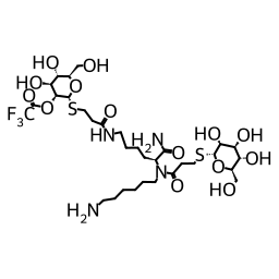 NCCCCCCN(C(=O)CCS[C@H]1O[C@H](CO)[C@@H](O)[C@H](O)[C@@H]1O)[C@@H](CCCCNC(=O)CCS[C@H]1O[C@H](CO)[C@@H](O)[C@H](O)[C@@H]1OC(=O)C(F)(F)F)C(N)=O